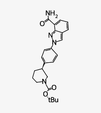 CC(C)(C)OC(=O)N1CCC[C@@H](c2ccc(-n3cc4cccc(C(N)=O)c4n3)cc2)C1